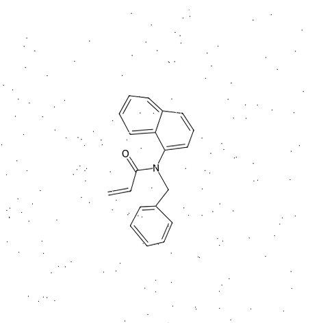 C=CC(=O)N(Cc1ccccc1)c1cccc2ccccc12